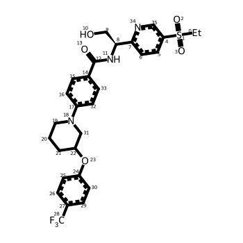 CCS(=O)(=O)c1ccc([C@H](CO)NC(=O)c2ccc(N3CCCC(Oc4ccc(C(F)(F)F)cc4)C3)cc2)nc1